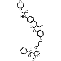 Cc1c(Cc2ccc(NC(=O)CN3CCOCC3)cc2)c(=O)oc2cc(OCCOc3no[n+]([O-])c3S(=O)(=O)c3ccccc3)ccc12